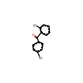 CCc1ccc(C(=O)c2ccccc2CC)cc1